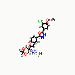 CCCOc1ccc(-c2nnc(-c3ccc4oc(C5(NC(=O)O)COC(C)(C)OC5)cc4c3)o2)cc1Cl